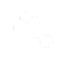 Cn1cnc([N+](=O)[O-])c1S(=O)(=O)Oc1ccccc1